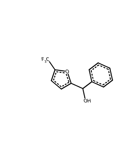 OC(c1ccccc1)c1ccc(C(F)(F)F)o1